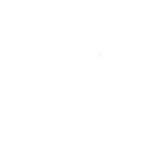 Fc1ccc(-c2cc(F)c(C(F)(F)Oc3cc(F)c(F)c(F)c3)c(F)c2)cc1